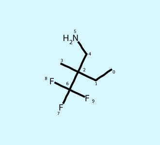 CCC(C)(CN)C(F)(F)F